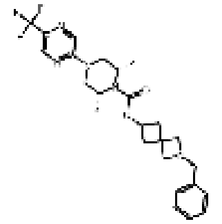 C[C@@H]1CN(c2cnc(C(F)(F)F)cn2)C[C@H](C)N1C(=O)OC1CC2(C1)CN(Cc1ccccc1)C2